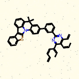 C=C/C=C\C(=C/C)c1nc(-c2cccc(-c3ccc4c(c3)C(C)(C)c3cccc5c6c7ccccc7sc6n-4c35)c2)nc(C=C)c1/C=C\C